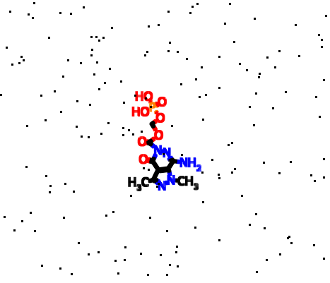 Cc1nn(C)c2c(N)nn(C(=O)OCOP(=O)(O)O)c(=O)c12